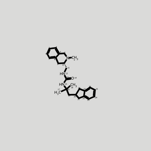 CN1Cc2ccccc2C[C@H]1CNC(=O)NC(C)(C)CC1Cc2ccccc2C1